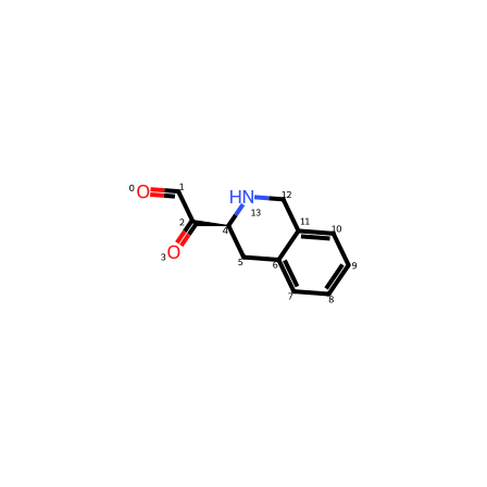 O=CC(=O)[C@@H]1Cc2ccccc2CN1